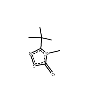 Cn1c(C(C)(C)C)nsc1=O